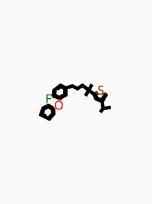 CC(C)c1csc(C(C)(C)CCCc2ccc(F)c(Oc3ccccc3)c2)c1